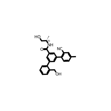 Cc1ccc(-c2cc(C(=O)N[C@@H](C)CO)cc(-c3ccccc3CO)c2)c(C#N)c1